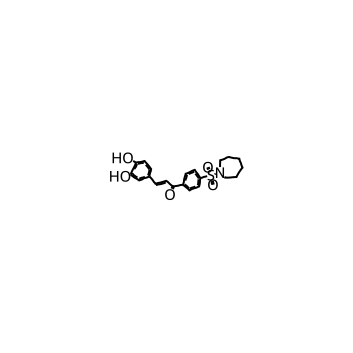 O=C(/C=C/c1ccc(O)c(O)c1)c1ccc(S(=O)(=O)N2CCCCCC2)cc1